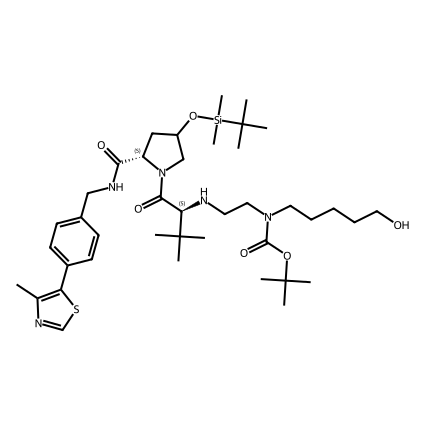 Cc1ncsc1-c1ccc(CNC(=O)[C@@H]2CC(O[Si](C)(C)C(C)(C)C)CN2C(=O)[C@@H](NCCN(CCCCCO)C(=O)OC(C)(C)C)C(C)(C)C)cc1